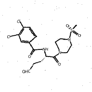 CS(=O)(=O)N1CCN(C(=O)[C@H](CCC=O)NC(=O)c2ccc(Cl)c(Cl)c2)CC1